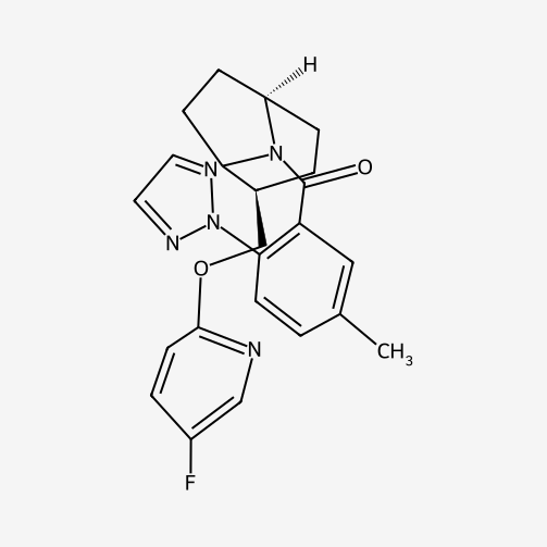 Cc1ccc(-n2nccn2)c(C(=O)N2C3CC[C@H]2CC[C@H]3COc2ccc(F)cn2)c1